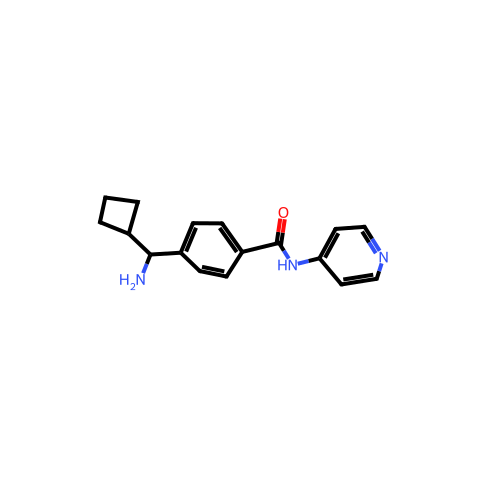 NC(c1ccc(C(=O)Nc2ccncc2)cc1)C1CCC1